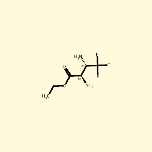 CCOC(=O)[C@H](N)[C@H](N)C(F)(F)F